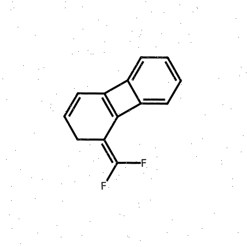 FC(F)=C1CC=CC2=C1c1ccccc12